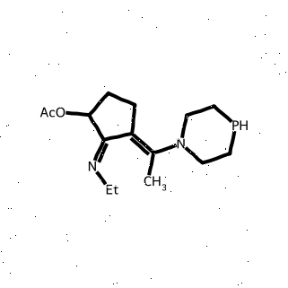 CC/N=C1\C(=C(/C)N2CCPCC2)CCC1OC(C)=O